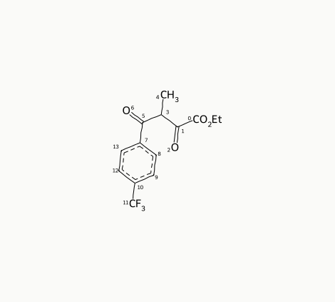 CCOC(=O)C(=O)C(C)C(=O)c1ccc(C(F)(F)F)cc1